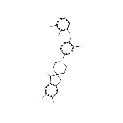 Nc1nc(N2CCC3(CC2)Cc2cc(F)c(O)cc2C3N)cnc1Sc1ccnc(N)c1Cl